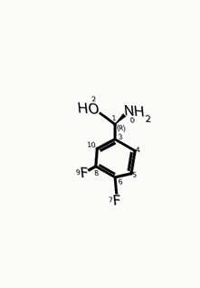 N[C@H](O)c1ccc(F)c(F)c1